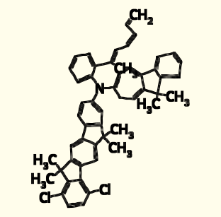 C=C/C=C\C=C(/C)c1ccccc1N(C1=CC=C2C(=CC1)C(C)(C)c1ccccc12)c1ccc2c(c1)C(C)(C)c1cc3c(cc1-2)C(C)(C)c1c(Cl)ccc(Cl)c1-3